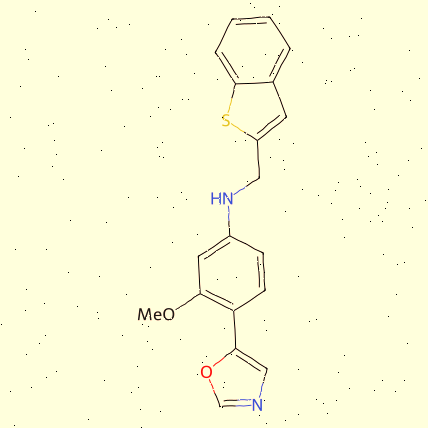 COc1cc(NCc2cc3ccccc3s2)ccc1-c1cnco1